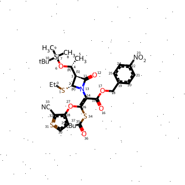 CCS[C@@H]1[C@@H]([C@@H](C)O[Si](C)(C)C(C)(C)C)C(=O)N1C(C(=O)OCc1ccc([N+](=O)[O-])cc1)=C(Oc1ccsc1C#N)SC(=O)C(C)(C)C